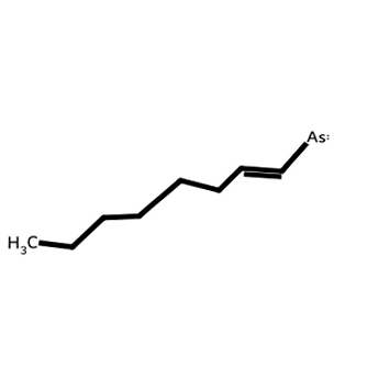 CCCCCC/C=C/[As]